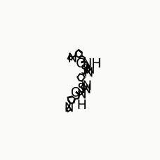 O=C(Cc1cccc(N2CCC2)c1)Nc1nnc(C2CCC[C@H](c3nnc(NC(=O)Cc4cccc(N5CCC5)c4)s3)C2)s1